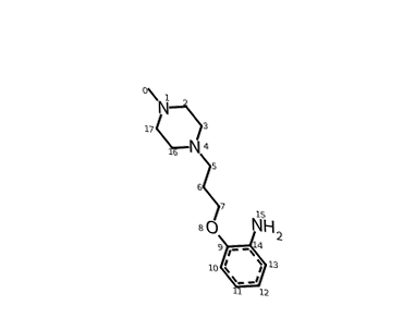 CN1CCN(CCCOc2ccccc2N)CC1